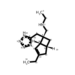 CCNC[C@@]1(Cc2nnn[nH]2)C[C@@H]2CC(CC)=C[C@@H]21